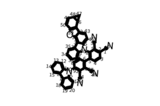 N#Cc1ccc(-c2ccc(-n3c4ccccc4c4ccccc43)c(C#N)c2C#N)c(-n2c3ccccc3c3c4oc5c(c4ccc32)C2CC2C=C5)c1C#N